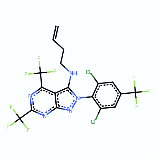 C=CCCNc1c2c(C(F)(F)F)nc(C(F)(F)F)nc2nn1-c1c(Cl)cc(C(F)(F)F)cc1Cl